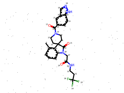 Cc1cccc2c1C1(CCN(C(=O)c3ccc4[nH]ncc4c3)CC1)C(=O)N2CC(=O)NCCC(F)(F)F